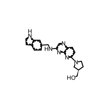 OC[C@@H]1CCN(c2ccc3ncc(NCc4ccc5cc[nH]c5c4)nc3n2)C1